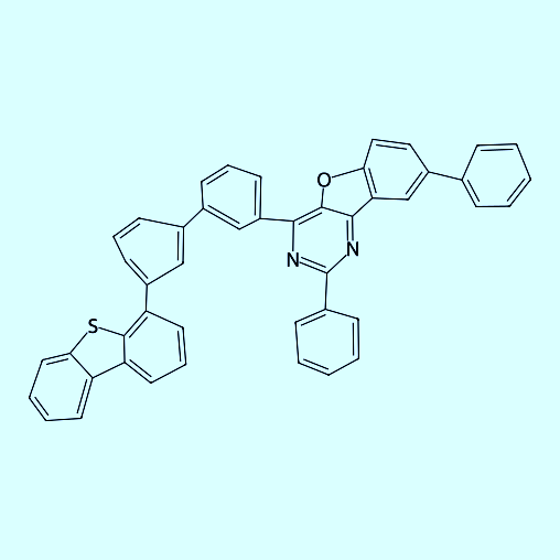 c1ccc(-c2ccc3oc4c(-c5cccc(-c6cccc(-c7cccc8c7sc7ccccc78)c6)c5)nc(-c5ccccc5)nc4c3c2)cc1